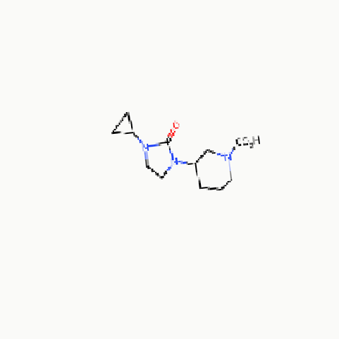 O=C(O)N1CCCC(N2CCN(C3CC3)C2=O)C1